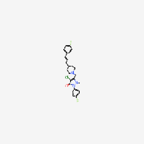 Cn1c(CN2CCC(C/C=C/c3ccc(F)cc3)CC2)c(Cl)c(=O)n1-c1ccc(F)cc1